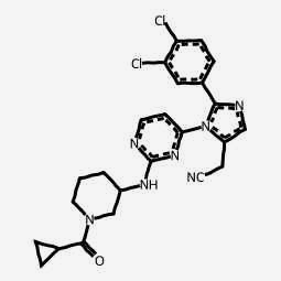 N#CCc1cnc(-c2ccc(Cl)c(Cl)c2)n1-c1ccnc(NC2CCCN(C(=O)C3CC3)C2)n1